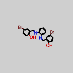 Oc1ccc(Br)cc1/C=N\c1ccccc1/N=C/c1cc(Br)ccc1O